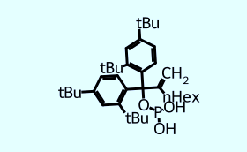 C=C(CCCCCC)C(OP(O)O)(c1ccc(C(C)(C)C)cc1C(C)(C)C)c1ccc(C(C)(C)C)cc1C(C)(C)C